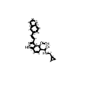 COc1c(C(=O)NCC2CC2)ccc2[nH]nc(C=Cc3ccc4occc4c3)c12